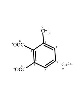 Cc1cccc(C(=O)[O-])c1C(=O)[O-].[Cu+2]